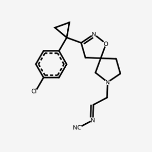 N#CN=CCN1CCC2(CC(C3(c4ccc(Cl)cc4)CC3)=NO2)C1